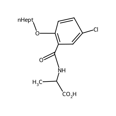 CCCCCCCOc1ccc(Cl)cc1C(=O)NC(C)C(=O)O